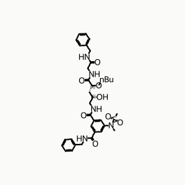 CCCCO[C@H](C[C@H](O)CNC(=O)c1cc(C(=O)NCc2ccccc2)cc(N(C)S(C)(=O)=O)c1)C(=O)NCC(=O)NCc1ccccc1